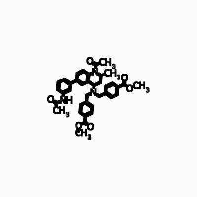 COC(=O)c1ccc(CN(Cc2ccc(C(=O)OC)cc2)[C@@H]2C[C@H](C)N(C(C)=O)c3ccc(-c4cccc(NC(C)=O)c4)cc32)cc1